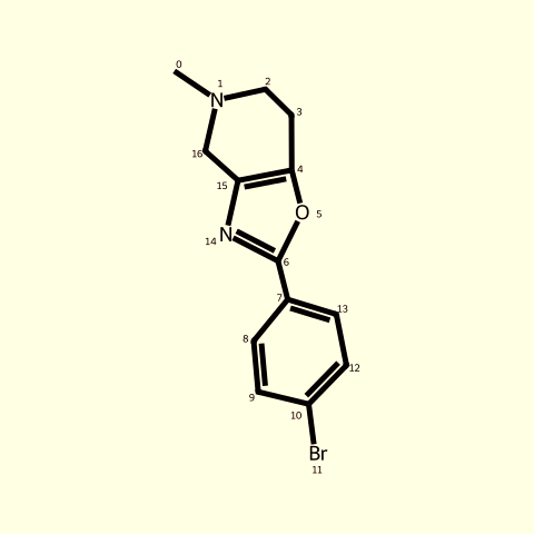 CN1CCc2oc(-c3ccc(Br)cc3)nc2C1